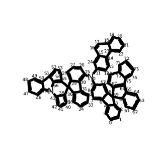 c1ccc2c(c1)-c1ccc(N(c3ccc4c(ccc5ccccc54)c3)c3cccc4c3-c3ccccc3C43c4ccccc4-n4c5ccccc5c5cccc3c54)cc1C21c2ccccc2-c2c1ccc1ccccc21